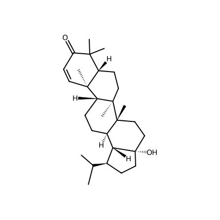 CC(C)[C@@H]1CC[C@]2(O)CC[C@]3(C)[C@H](CC[C@@H]4[C@@]5(C)C=CC(=O)C(C)(C)[C@@H]5CC[C@]43C)[C@@H]12